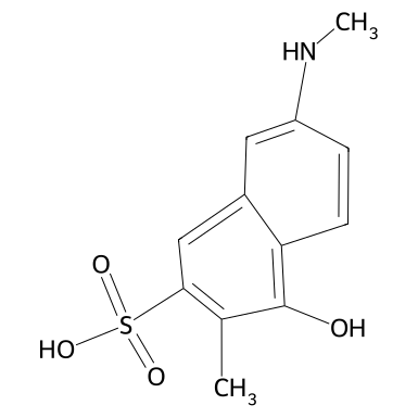 CNc1ccc2c(O)c(C)c(S(=O)(=O)O)cc2c1